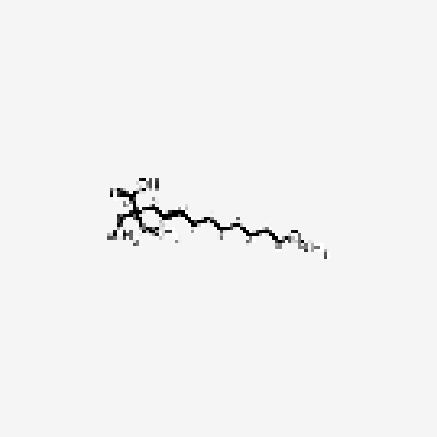 CCC(CC=CCCCCCCCOC)(SC)C(=O)O